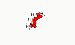 Cc1cc(C)cc(N(c2ccccc2)c2ccc3cc4c(cc3c2)oc2c(C)c3oc5cc6cc(N(c7ccccc7)c7cc(C)cc(C)c7)ccc6cc5c3cc24)c1